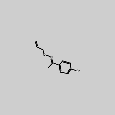 C=CCO/N=C(\C)c1ccc(Br)cc1